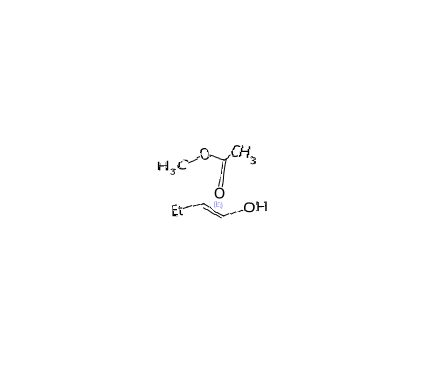 CC/C=C/O.COC(C)=O